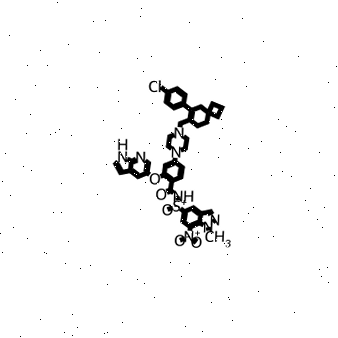 Cn1ncc2cc([S+]([O-])NC(=O)c3ccc(N4CCN(CC5=C(c6ccc(Cl)cc6)CC6(CCC6)CC5)CC4)cc3Oc3cnc4[nH]ccc4c3)cc([N+](=O)[O-])c21